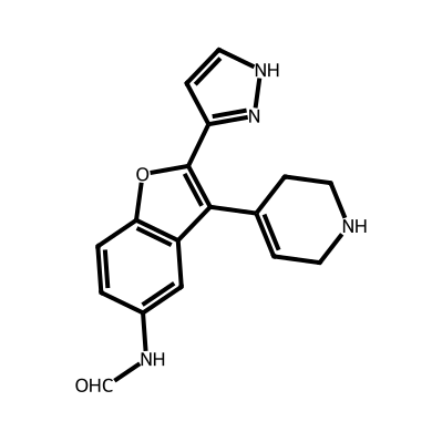 O=CNc1ccc2oc(-c3cc[nH]n3)c(C3=CCNCC3)c2c1